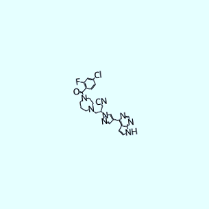 [C-]#[N+]CC(CN1CCCN(C(=O)c2ccc(Cl)cc2F)CC1)n1cc(-c2ncnc3[nH]ccc23)cn1